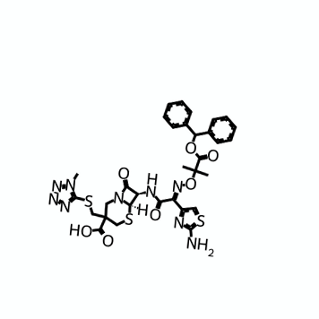 Cn1nnnc1SCC1(C(=O)O)CS[C@@H]2[C@H](NC(=O)C(=NOC(C)(C)C(=O)OC(c3ccccc3)c3ccccc3)c3csc(N)n3)C(=O)N2C1